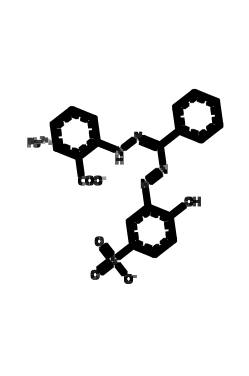 O=C([O-])c1ccccc1NN=C(N=Nc1cc(S(=O)(=O)[O-])ccc1O)c1ccccc1.[Pb+2]